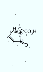 CC(=O)O.O=C1B=CC=C1